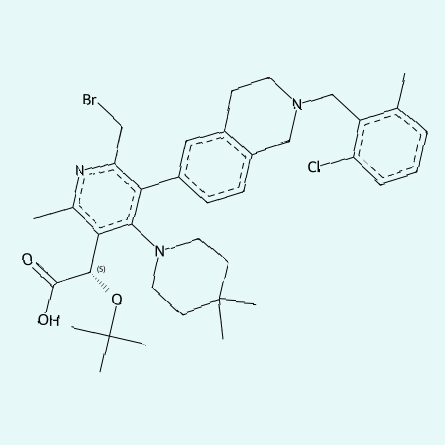 Cc1cccc(Cl)c1CN1CCc2cc(-c3c(CBr)nc(C)c([C@H](OC(C)(C)C)C(=O)O)c3N3CCC(C)(C)CC3)ccc2C1